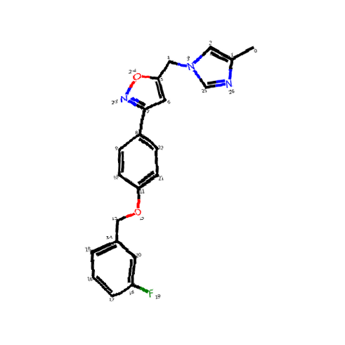 Cc1cn(Cc2cc(-c3ccc(OCc4cccc(F)c4)cc3)no2)cn1